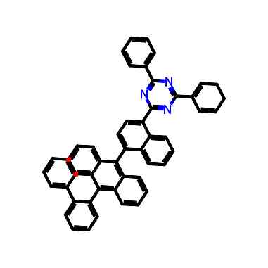 C1=CC(c2nc(-c3ccccc3)nc(-c3ccc(-c4c5ccccc5c(-c5ccccc5-c5ccccc5)c5ccccc45)c4ccccc34)n2)=CCC1